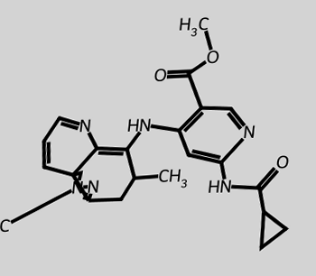 COC(=O)c1cnc(NC(=O)C2CC2)cc1NC1=C2N=CC=CC23CN(C)N=C3CC1C